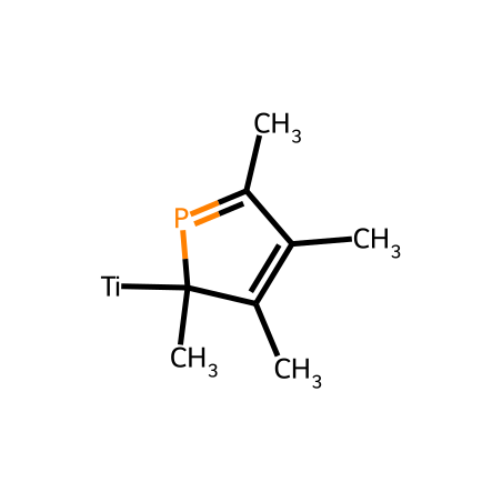 CC1=P[C](C)([Ti])C(C)=C1C